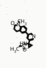 CC[S+]([O-])NC1(c2cncc(-c3ccc4c(c3)CCC(=O)N4C)c2)CC1